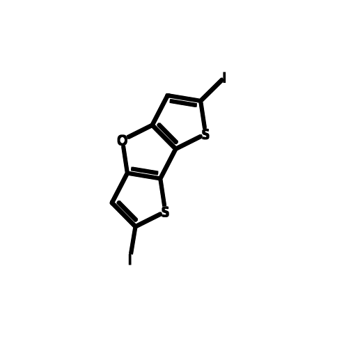 Ic1cc2oc3cc(I)sc3c2s1